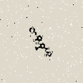 O=C(N=C1NCCN1)c1ccc(Nc2cccc(OCC3COCCO3)c2Cl)c(C2CC2)c1